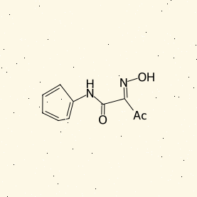 CC(=O)C(=NO)C(=O)Nc1ccccc1